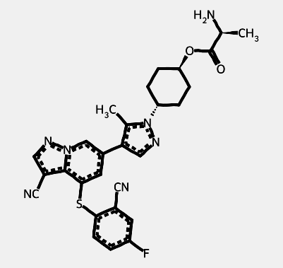 Cc1c(-c2cc(Sc3ccc(F)cc3C#N)c3c(C#N)cnn3c2)cnn1[C@H]1CC[C@H](OC(=O)[C@H](C)N)CC1